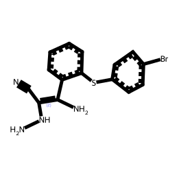 N#C/C(NN)=C(/N)c1ccccc1Sc1ccc(Br)cc1